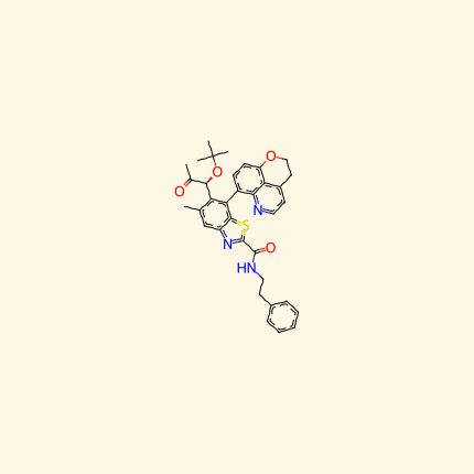 CC(=O)[C@@H](OC(C)(C)C)c1c(C)cc2nc(C(=O)NCCc3ccccc3)sc2c1-c1ccc2c3c(ccnc13)CCO2